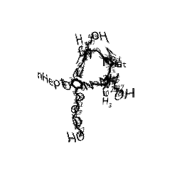 CCCCCCCOc1cc2c(cc1COCCOCCOCCO)/N=C/c1[nH]c(c(CCCO)c1C)Cc1[nH]c(c(CC)c1CC)Cc1[nH]c(c(C)c1CCCO)/C=N/2